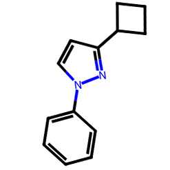 c1ccc(-n2ccc(C3CCC3)n2)cc1